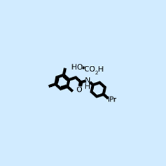 Cc1cc(C)c(CC(=O)NC2CCC(C(C)C)CC2)c(C)c1.O=C(O)O